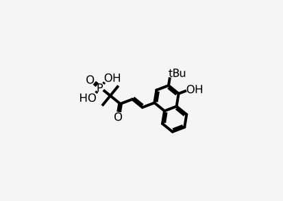 CC(C)(C)c1cc(C=CC(=O)C(C)(C)P(=O)(O)O)c2ccccc2c1O